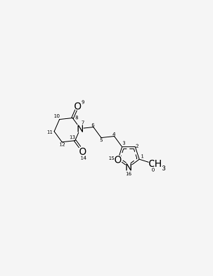 Cc1cc(CCCN2C(=O)CCCC2=O)on1